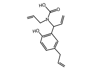 C=CCc1ccc(O)c(C(C=C)N(CC=C)C(=O)O)c1